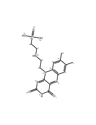 Cc1cc2nc3c(=O)[nH]c(=O)nc-3n(CCNCCP(=O)(O)O)c2cc1C